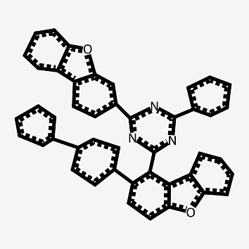 c1ccc(-c2ccc(-c3ccc4oc5ccccc5c4c3-c3nc(-c4ccccc4)nc(-c4ccc5c(c4)oc4ccccc45)n3)cc2)cc1